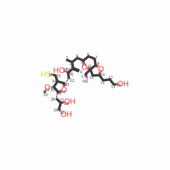 C=C(C(C)CC1CCC2OC(CCCO)CC2(CI)O1)[C@H](O)C[C@@H]1O[C@H](CC(O)CO)[C@H](OC)C1CS